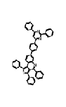 c1ccc(-c2cc(-c3ccc(-c4ccc5c(c4)nc(-c4ccccc4)c4c(-c6ccccc6)sc(-c6ccccc6)c45)cc3)nc(-c3ccccc3)n2)cc1